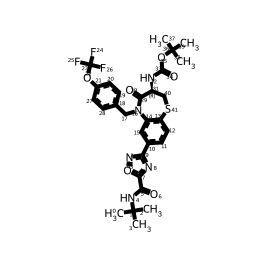 CC(C)(C)NC(=O)c1nc(-c2ccc3c(c2)N(Cc2ccc(OC(F)(F)F)cc2)C(=O)[C@@H](NC(=O)OC(C)(C)C)CS3)no1